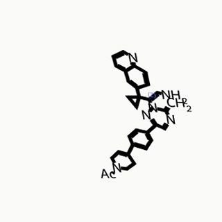 C=C1N=CC(c2ccc(C3=CCN(C(C)=O)CC3)cc2)=NN1/C(=C\N)C1(c2ccc3ncccc3c2)CC1